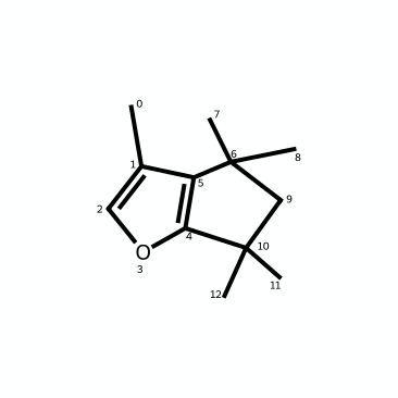 Cc1coc2c1C(C)(C)CC2(C)C